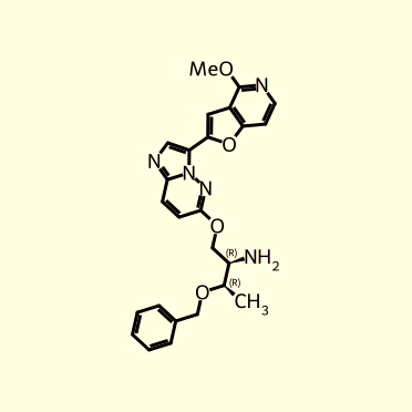 COc1nccc2oc(-c3cnc4ccc(OC[C@@H](N)[C@@H](C)OCc5ccccc5)nn34)cc12